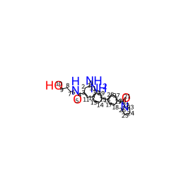 NC1CC(C(=O)NCCCO)=Cc2ccc(-c3ccc(C(=O)N4CCCC4)cc3)cc2N1